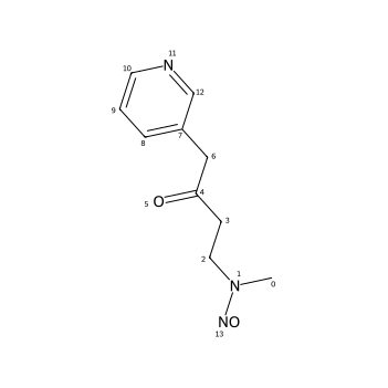 CN(CCC(=O)Cc1cccnc1)N=O